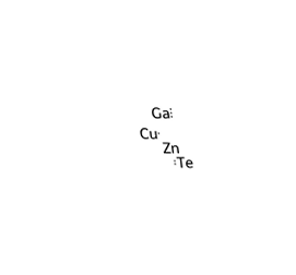 [Cu].[Ga].[Te].[Zn]